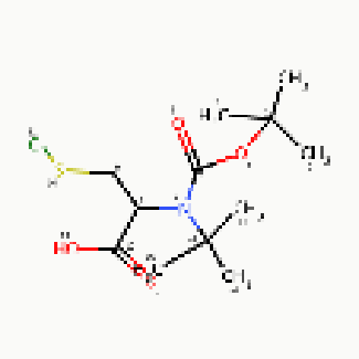 CC(C)(C)OC(=O)N(C(CSCl)C(=O)O)C(C)(C)C